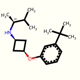 CC(C)[C@H](C)N[C@H]1C[C@@H](Oc2cccc(C(C)(C)C)c2)C1